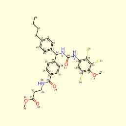 CCCCc1ccc(C(NC(=O)Nc2cc(F)c(OC)c(F)c2F)c2ccc(C(=O)NCCC(=O)OC)cc2)cc1